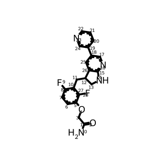 NC(=O)COc1ccc(F)c(CC2CNc3ncc(-c4cccnc4)cc32)c1F